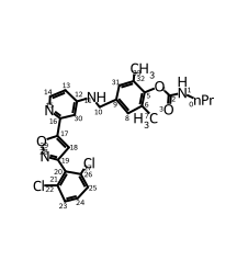 CCCNC(=O)Oc1c(C)cc(CNc2ccnc(-c3cc(-c4c(Cl)cccc4Cl)no3)c2)cc1C